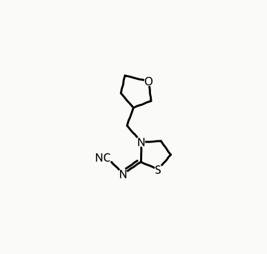 N#C/N=C1/SCCN1CC1CCOC1